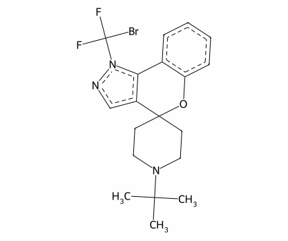 CC(C)(C)N1CCC2(CC1)Oc1ccccc1-c1c2cnn1C(F)(F)Br